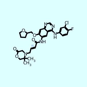 CC1(C)COC(=O)CN1C/C=C/C(=O)Nc1cc2c(Nc3ccc(F)c(Cl)c3)ncnc2cc1OCC1CCCO1